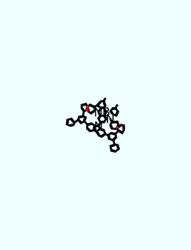 Cc1ccc2c(c1)B1c3c(cc(-n4c5cc(-c6cc(-c7ccccc7)cc(-c7ccccc7)c6)ccc5c5ccc(-c6cc(-c7ccccc7)cc(-c7ccccc7)c6)cc54)cc3-n3c4ccccc4c4cc(C)cc1c43)N2c1ccccc1